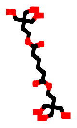 O=C(CCCCC(=O)OCCC(CO)(CO)CO)OCCC(CO)(CO)CO